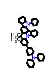 CC1(C)c2ccc(-c3ccc(N(c4ccccc4)c4ccccc4)cc3)cc2-n2c3ccccc3c3c2c1cc1c2ccccc2n(-c2ccccc2)c13